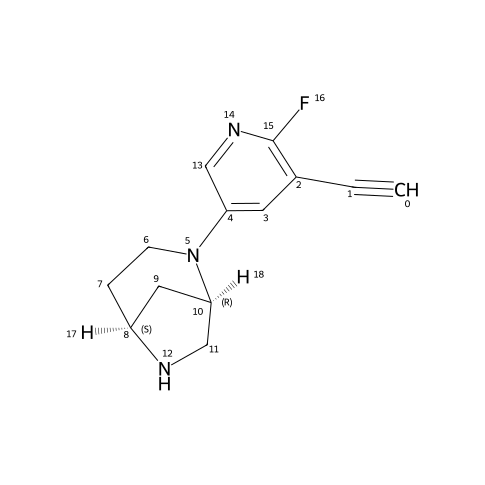 C#Cc1cc(N2CC[C@H]3C[C@@H]2CN3)cnc1F